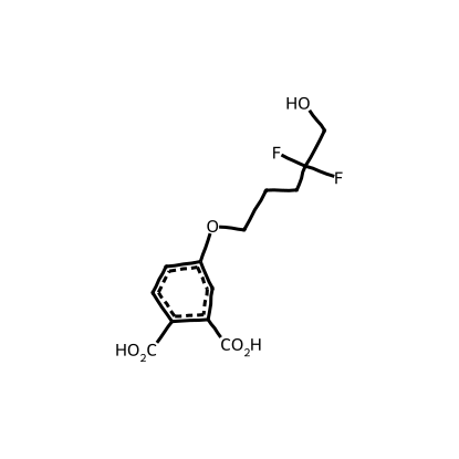 O=C(O)c1ccc(OCCCC(F)(F)CO)cc1C(=O)O